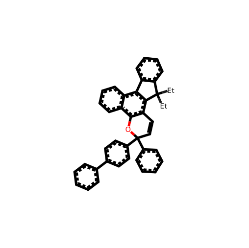 CCC1(CC)c2ccccc2-c2c1c1c(c3ccccc23)OC(c2ccccc2)(c2ccc(-c3ccccc3)cc2)C=C1